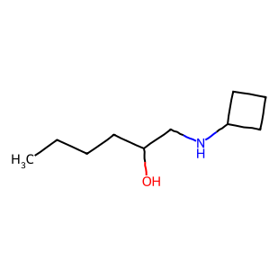 CCCCC(O)CNC1CCC1